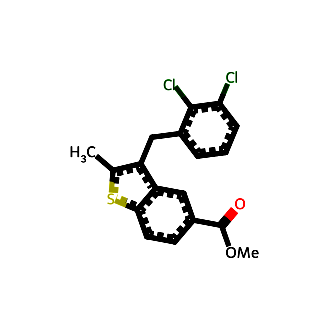 COC(=O)c1ccc2sc(C)c(Cc3cccc(Cl)c3Cl)c2c1